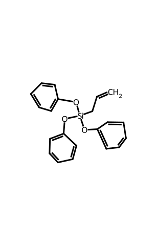 C=CC[Si](Oc1ccccc1)(Oc1ccccc1)Oc1ccccc1